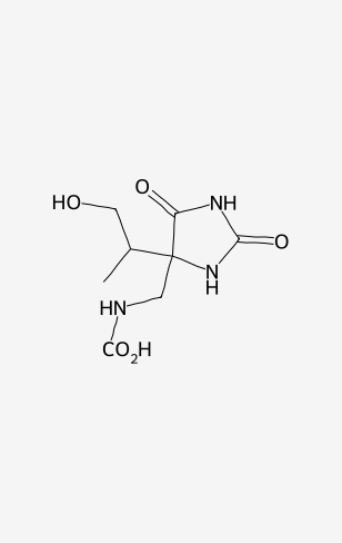 CC(CO)C1(CNC(=O)O)NC(=O)NC1=O